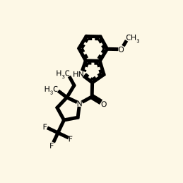 CCC1(C)CC(C(F)(F)F)CN1C(=O)c1cc2c(OC)cccc2[nH]1